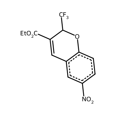 CCOC(=O)C1=Cc2cc([N+](=O)[O-])ccc2OC1C(F)(F)F